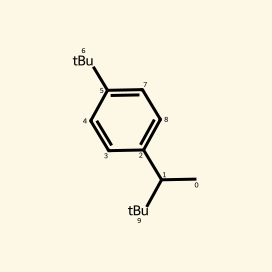 CC(c1ccc(C(C)(C)C)cc1)C(C)(C)C